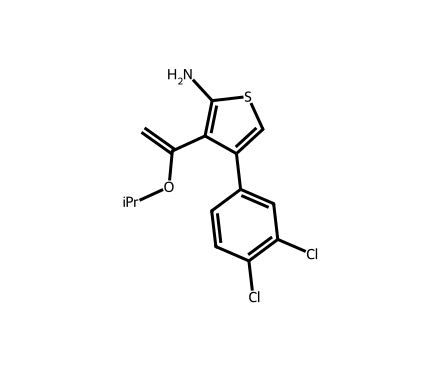 C=C(OC(C)C)c1c(-c2ccc(Cl)c(Cl)c2)csc1N